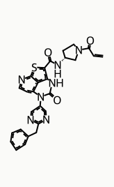 C=CC(=O)N1CC[C@@H](NC(=O)c2sc3nccc4c3c2NC(=O)N4c2cnc(Cc3ccccc3)nc2)C1